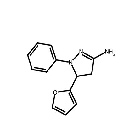 NC1=NN(c2ccccc2)C(c2ccco2)C1